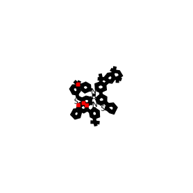 CC(C)(C)c1ccc(N2B3c4cc5c(-c6ccccc6)sc(-c6ccccc6)c5cc4N(c4ccc(C(C)(C)C)cc4-c4ccccc4)c4c3c(cc3c4sc4ccccc43)-c3cc4c(cc32)C(C)(C)c2cc3c(cc2-4)C(C)(C)CCC3(C)C)cc1